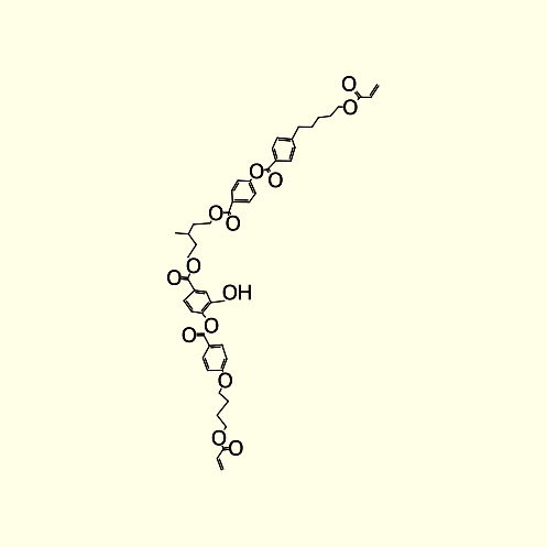 C=CC(=O)OCCCCCc1ccc(C(=O)Oc2ccc(C(=O)OCCC(C)CCOC(=O)c3ccc(OC(=O)c4ccc(OCCCCOC(=O)C=C)cc4)c(CO)c3)cc2)cc1